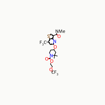 CNC(=O)c1csc2c(C(F)(F)F)cc(OC3CCN(C(=O)OCCOC(F)(F)F)C(C)(C)C3)nc12